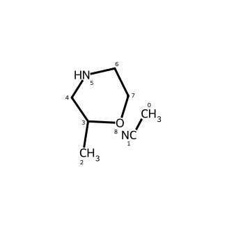 CC#N.CC1CNCCO1